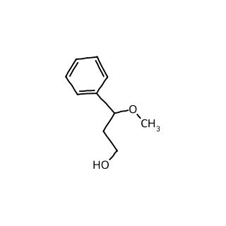 COC(CCO)c1ccccc1